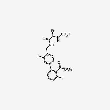 CCN(NC(=O)O)C(=O)NCc1ccc(-c2cccc(F)c2C(=O)OC)cc1F